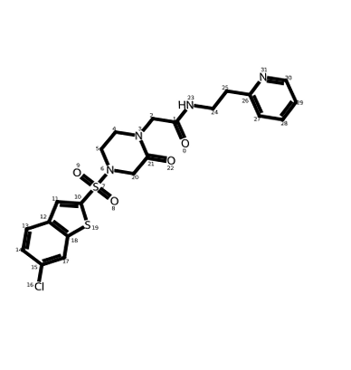 O=C(CN1CCN(S(=O)(=O)c2cc3ccc(Cl)cc3s2)CC1=O)NCCc1ccccn1